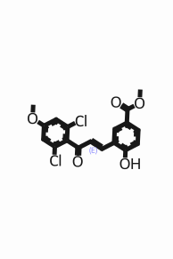 COC(=O)c1ccc(O)c(/C=C/C(=O)c2c(Cl)cc(OC)cc2Cl)c1